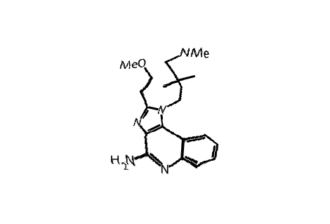 CNCC(C)(C)Cn1c(CCOC)nc2c(N)nc3ccccc3c21